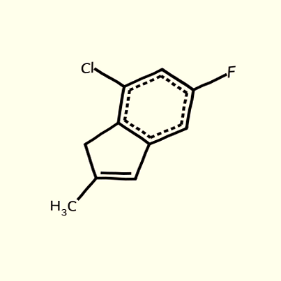 CC1=Cc2cc(F)cc(Cl)c2C1